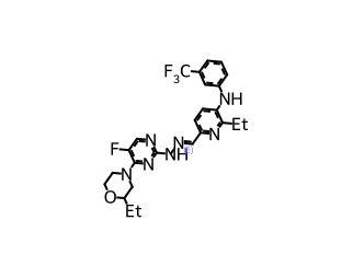 CCc1nc(/C=N/Nc2ncc(F)c(N3CCOC(CC)C3)n2)ccc1Nc1cccc(C(F)(F)F)c1